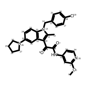 COc1cc(NC(=O)C(=O)c2c(C)n(Cc3ccc(Cl)cc3)c3ccc(N4CCCC4)cc23)ccn1